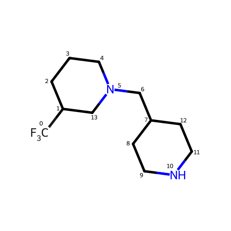 FC(F)(F)C1CCCN(CC2CCNCC2)C1